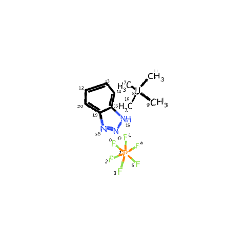 F[P-](F)(F)(F)(F)F.[CH3][U]([CH3])([CH3])[CH3].c1ccc2[nH]nnc2c1